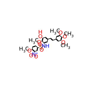 COc1ccc(S(=O)(=O)Nc2cc(C=Cc3cc(OC)c(OC)c(OC)c3)cc(O)c2OC)cc1[N+](=O)[O-]